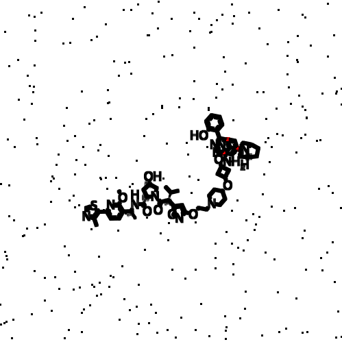 COc1nc(-c2scnc2C)ccc1[C@H](C)NC(=O)[C@@H]1C[C@@H](O)CN1C(=O)[C@@H](c1cc(OCCN2CCC(OC3CC(Oc4cc(N5C6CC[C@@H]5CN(c5cc(-c7ccccc7O)nnc5N)C6)ccn4)C3)CC2)no1)C(C)C